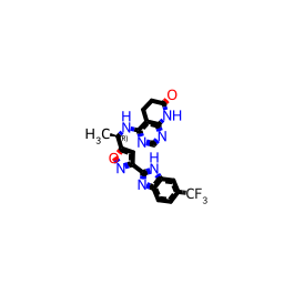 C[C@@H](Nc1ncnc2c1CCC(=O)N2)c1cc(-c2nc3ccc(C(F)(F)F)cc3[nH]2)no1